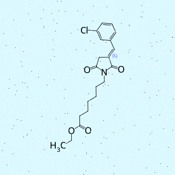 CCOC(=O)CCCCCCN1C(=O)C/C(=C\c2cccc(Cl)c2)C1=O